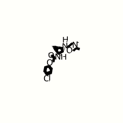 CC(C)N(C)CC(=O)N[C@H]1C[C@@H](NC(=O)COc2ccc(Cl)cc2)C2CC21